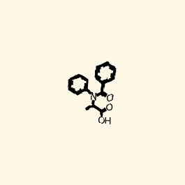 CC(C(=O)O)N(C(=O)c1ccccc1)c1ccccc1